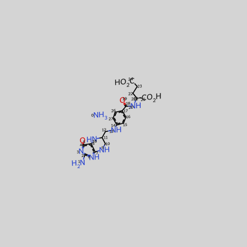 N.Nc1nc(=O)c2c([nH]1)NCC(CNc1ccc(C(=O)N[C@@H](CCC(=O)O)C(=O)O)cc1)N2